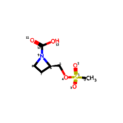 CS(=O)(=O)OC[C@H]1CCN1C(=O)O